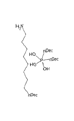 CCCCCCCCCCCCCCCCCCN.CCCCCCCCCCP(O)(O)(O)CCCCCCCCCC